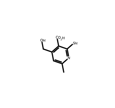 Cc1cc(CO)c(C(=O)O)c(S)n1